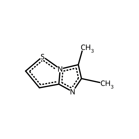 Cc1nc2ccsn2c1C